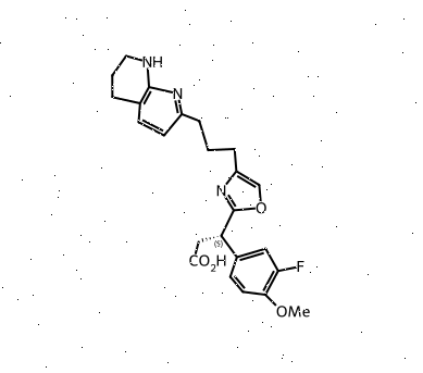 COc1ccc([C@H](CC(=O)O)c2nc(CCCc3ccc4c(n3)NCCC4)co2)cc1F